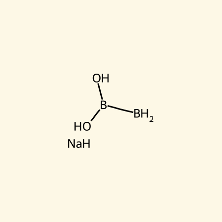 BB(O)O.[NaH]